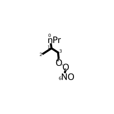 CCCC(C)COON=O